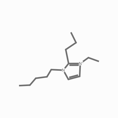 CCCCCn1cc[n+](CC)c1CCC